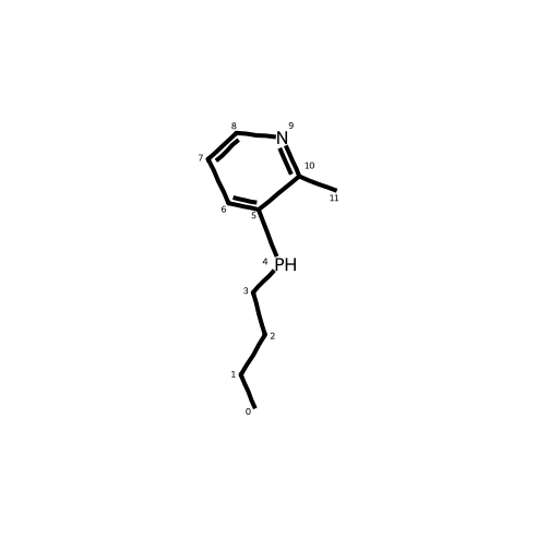 CCCCPc1cccnc1C